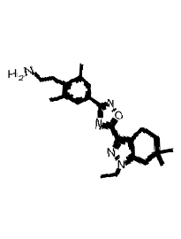 CCn1nc(-c2nc(-c3cc(C)c(CCN)c(C)c3)no2)c2c1CC(C)(C)CC2